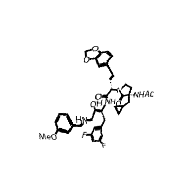 COc1cccc(CNC[C@@H](O)[C@H](Cc2cc(F)cc(F)c2)NC(=O)[C@H](CCc2ccc3c(c2)OCO3)N2CC[C@](CC3CC3)(NC(C)=O)C2=O)c1